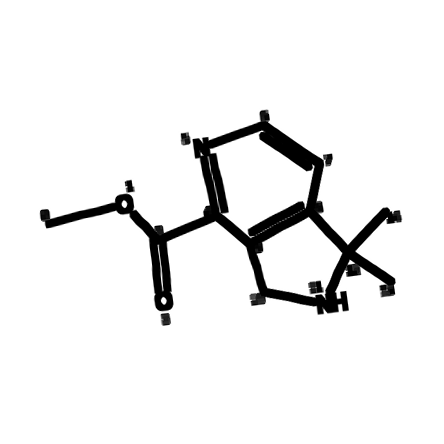 COC(=O)c1nccc2c1CNC2(C)C